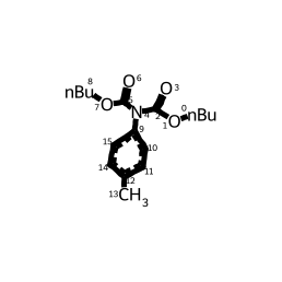 CCCCOC(=O)N(C(=O)OCCCC)c1ccc(C)cc1